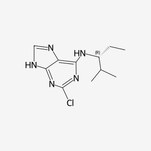 CC[C@@H](Nc1nc(Cl)nc2[nH]cnc12)C(C)C